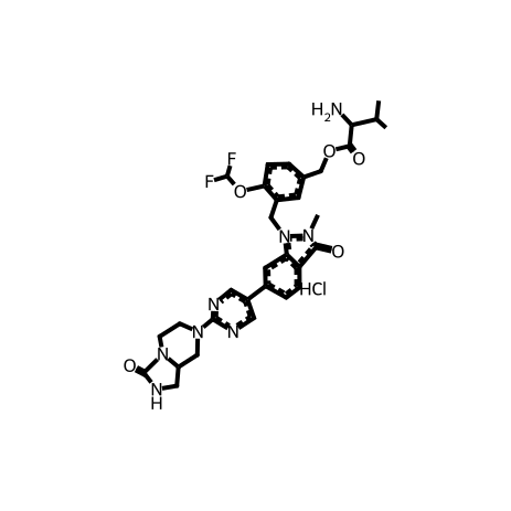 CC(C)C(N)C(=O)OCc1ccc(OC(F)F)c(Cn2c3cc(-c4cnc(N5CCN6C(=O)NCC6C5)nc4)ccc3c(=O)n2C)c1.Cl